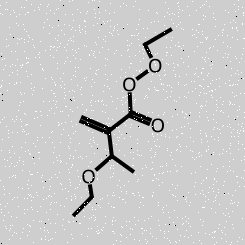 C=C(C(=O)OOCC)C(C)OCC